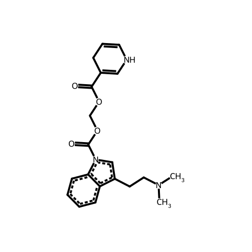 CN(C)CCc1cn(C(=O)OCOC(=O)C2=CNC=CC2)c2ccccc12